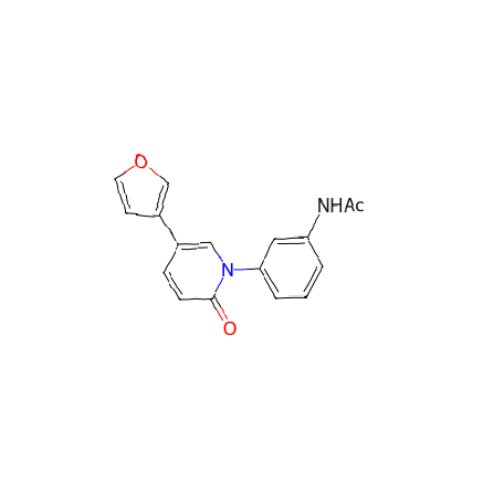 CC(=O)Nc1cccc(-n2cc(-c3ccoc3)ccc2=O)c1